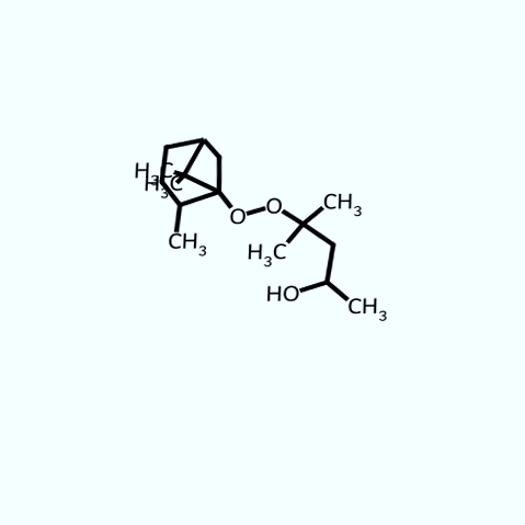 CC(O)CC(C)(C)OOC12CC(CCC1C)C2(C)C